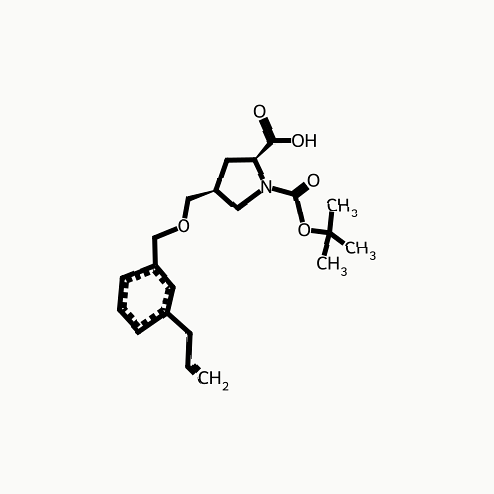 C=CCc1cccc(COC[C@H]2C[C@@H](C(=O)O)N(C(=O)OC(C)(C)C)C2)c1